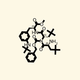 COC(=O)[C@H](Cc1cccc(NC(C)(C)C)c1)NC(=O)[C@H](CC(C)(C)C)N(C(=O)OCc1ccccc1)C(=O)[C@H](N)CC(C)(C)C